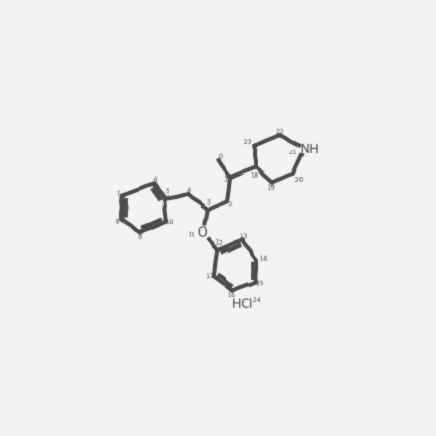 CC(CC(Cc1ccccc1)Oc1ccccc1)C1CCNCC1.Cl